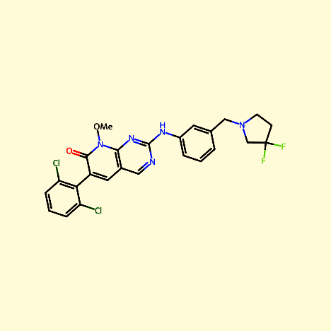 COn1c(=O)c(-c2c(Cl)cccc2Cl)cc2cnc(Nc3cccc(CN4CCC(F)(F)C4)c3)nc21